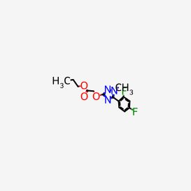 CCCOC(=O)COc1nc(-c2ccc(F)cc2F)n(C)n1